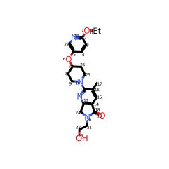 CCOc1ccc(OC2CCN(c3nc4c(cc3C)C(=O)N(CCO)C4)CC2)cn1